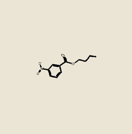 CCCCOC(=O)c1cccc([N+](=O)[O-])c1